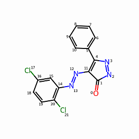 O=C1N=NC(c2ccccc2)=C1N=Nc1cc(Cl)ccc1Cl